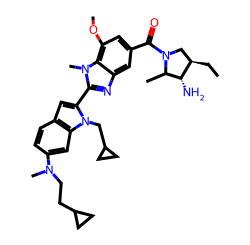 CC[C@@H]1CN(C(=O)c2cc(OC)c3c(c2)nc(-c2cc4ccc(N(C)CCC5CC5)cc4n2CC2CC2)n3C)C(C)[C@H]1N